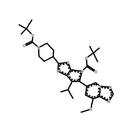 COc1cc(-c2c(C(C)C)c3nc(C4CCN(C(=O)OC(C)(C)C)CC4)sc3n2C(=O)OC(C)(C)C)cn2ncnc12